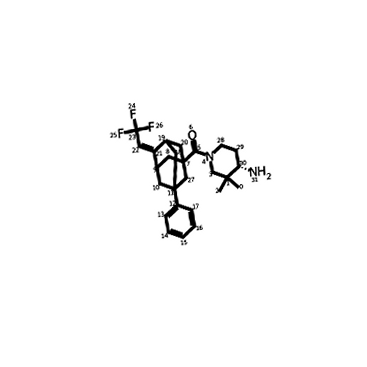 CC1(C)CN(C(=O)C23CC4CC(c5ccccc5)(CC(C2)C4=CC(F)(F)F)C3)CC[C@@H]1N